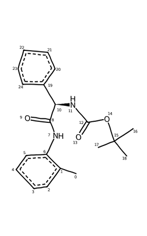 Cc1ccccc1NC(=O)[C@H](NC(=O)OC(C)(C)C)c1ccccc1